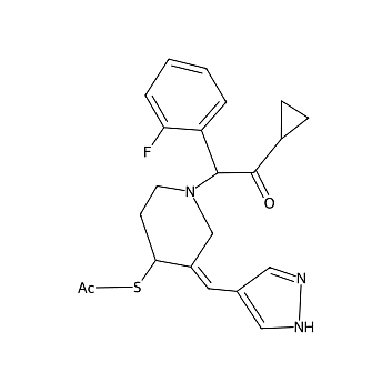 CC(=O)SC1CCN(C(C(=O)C2CC2)c2ccccc2F)CC1=Cc1cn[nH]c1